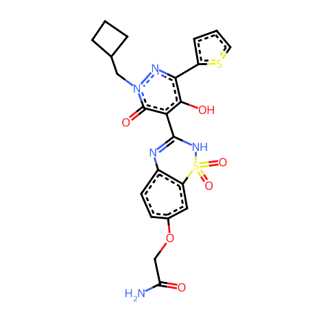 NC(=O)COc1ccc2c(c1)S(=O)(=O)NC(c1c(O)c(-c3cccs3)nn(CC3CCC3)c1=O)=N2